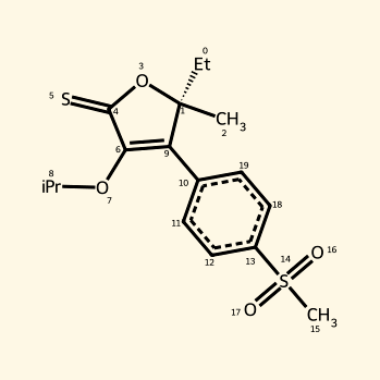 CC[C@@]1(C)OC(=S)C(OC(C)C)=C1c1ccc(S(C)(=O)=O)cc1